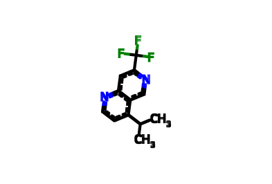 CC(C)c1ccnc2cc(C(F)(F)F)ncc12